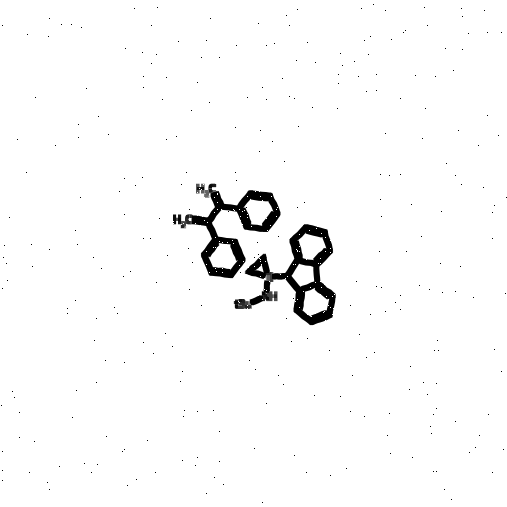 C=C(C(=C)c1ccccc1)c1ccccc1.CC(C)(C)[NH][Ti]1([CH]2c3ccccc3-c3ccccc32)[CH2][CH2]1